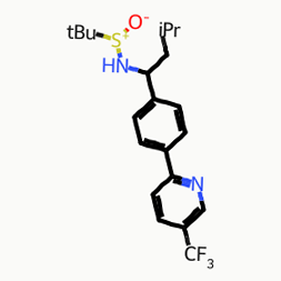 CC(C)CC(N[S+]([O-])C(C)(C)C)c1ccc(-c2ccc(C(F)(F)F)cn2)cc1